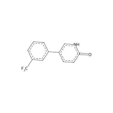 O=c1ccc(-c2cccc(C(F)(F)F)c2)c[nH]1